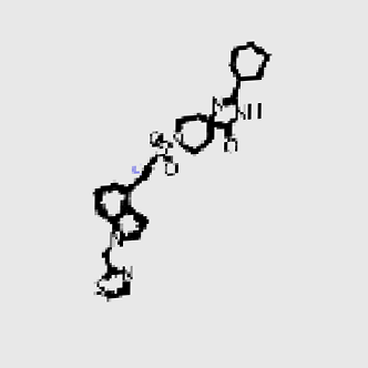 O=C1NC(C2CCCCC2)=NC12CCN(S(=O)(=O)/C=C/c1cccc3c1ccn3Cc1nccs1)CC2